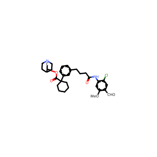 COc1cc(NC(=O)CCCc2cccc(C3(C(=O)OC4CN5CCC4CC5)CCCCC3)c2)c(Cl)cc1C=O